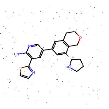 Nc1ncc(-c2cc3c(c([C@@H]4CCCN4)c2)COCC3)cc1-c1nccs1